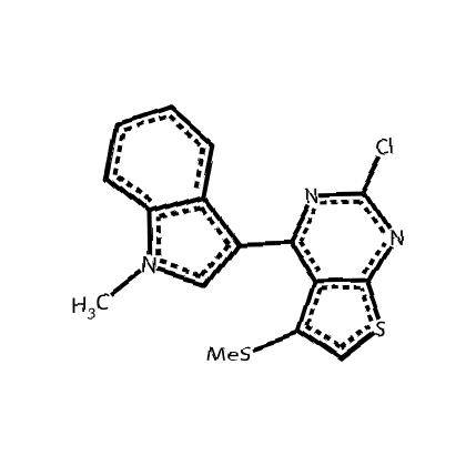 CSc1csc2nc(Cl)nc(-c3cn(C)c4ccccc34)c12